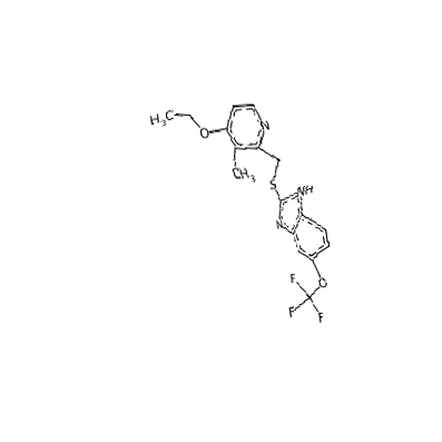 CCOc1ccnc(CSc2nc3cc(OC(F)(F)F)ccc3[nH]2)c1C